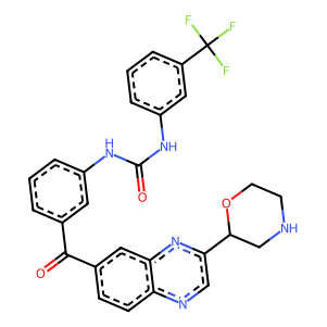 O=C(Nc1cccc(C(=O)c2ccc3ncc(C4CNCCO4)nc3c2)c1)Nc1cccc(C(F)(F)F)c1